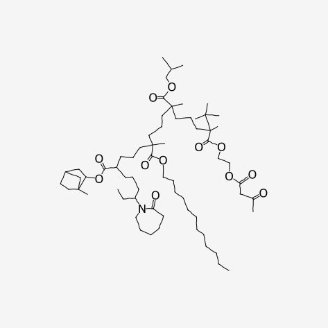 CCCCCCCCCCCCOC(=O)C(C)(CCCC(CCCC(CC)N1CCCCCC1=O)C(=O)OC1CC2CCC1(C)C2)CCCC(C)(CCCC(C)(C(=O)OCCOC(=O)CC(C)=O)C(C)(C)C)C(=O)OCC(C)C